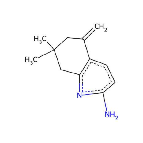 C=C1CC(C)(C)Cc2nc(N)ccc21